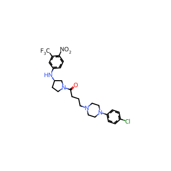 O=C(CCCN1CCN(c2ccc(Cl)cc2)CC1)N1CC[C@@H](Nc2ccc([N+](=O)[O-])c(C(F)(F)F)c2)C1